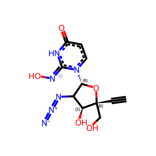 C#C[C@]1(CO)O[C@@H](n2ccc(=O)[nH]/c2=N\O)C(N=[N+]=[N-])[C@@H]1O